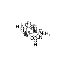 CCC(CC)C1C(O)=C(C(N)=O)C(=O)[C@@]2(O)C(O)=C3C(=O)c4c(O)cnc(N(C)C)c4C[C@H]3C[C@@H]12